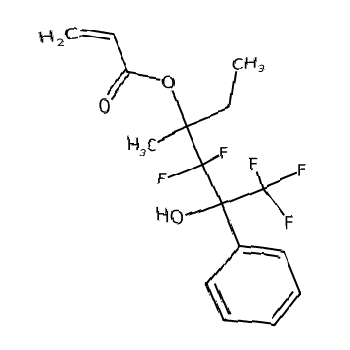 C=CC(=O)OC(C)(CC)C(F)(F)C(O)(c1ccccc1)C(F)(F)F